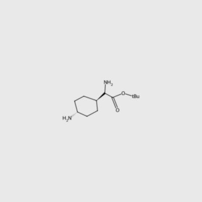 CC(C)(C)OC(=O)C(N)[C@H]1CC[C@H](N)CC1